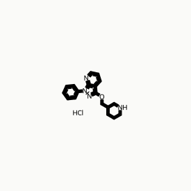 Cl.c1ccc(-n2nc(OCC3CCCNC3)c3cccnc32)cc1